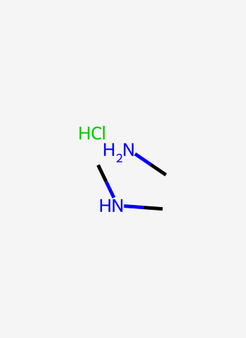 CN.CNC.Cl